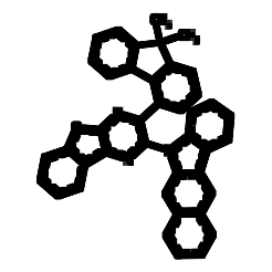 CC1(C)c2ccccc2-c2c(-c3nc4oc5ccccc5c4nc3-n3c4ccccc4c4cc5ccccc5cc43)cccc21